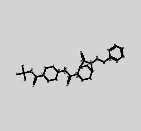 CC(C)(C)OC(=O)N1CCC(NC(=O)[C@@H]2CCC3CN2C(=O)N3OCc2ccccc2)CC1